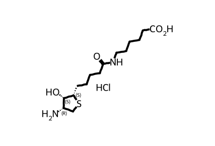 Cl.N[C@H]1CS[C@@H](CCCCC(=O)NCCCCCC(=O)O)[C@H]1O